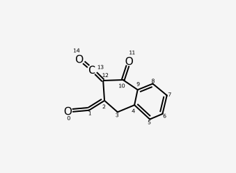 O=C=C1Cc2ccccc2C(=O)C1=C=O